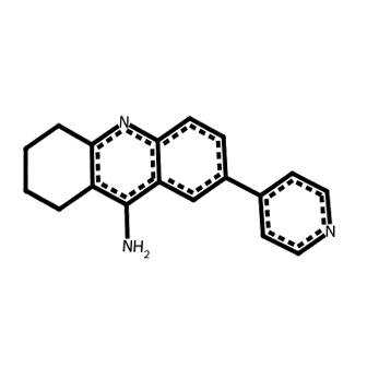 Nc1c2c(nc3ccc(-c4ccncc4)cc13)CCCC2